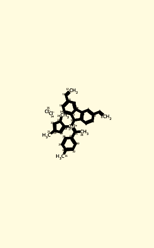 C=Cc1ccc2c(c1)-c1cc(C=C)ccc1[CH]2/[Zr+2]([C]1=CC(C)=CC1C)=[C](\C)c1ccc(C)cc1.[Cl-].[Cl-]